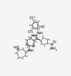 NC(=O)[C@H]1CC[C@@H](n2c(Nc3c(Cl)cc(Cl)cc3Cl)nc3cnc(N[C@H]4CCCC[C@@H](O)C4)nc32)CC1